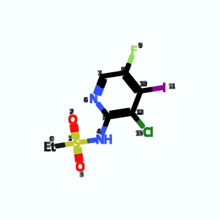 CCS(=O)(=O)Nc1ncc(F)c(I)c1Cl